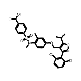 Cc1cc(OCc2c(-c3c(Cl)cccc3Cl)noc2C(C)C)ccc1N(C)S(=O)(=O)c1ccc(C(=O)O)cc1